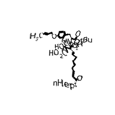 CC#CCOc1ccc(C[C@H](NC(=O)[C@@H](C=CCCCCCCC(=O)CCCCCCC)[C@@](O)(CC(=O)O)C(=O)O)C(=O)OC(C)(C)C)cc1